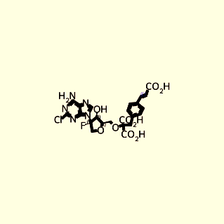 Nc1nc(Cl)nc2c1ncn2[C@]1(F)CO[C@H](COC(Cc2ccc(/C=C/C(=O)O)cc2)(C(=O)O)C(=O)O)[C@H]1O